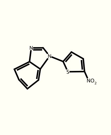 O=[N+]([O-])c1ccc(-n2cnc3ccccc32)s1